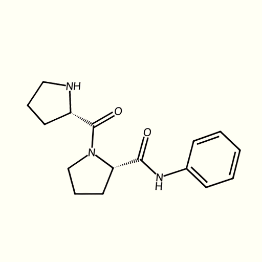 O=C(Nc1ccccc1)[C@@H]1CCCN1C(=O)[C@@H]1CCCN1